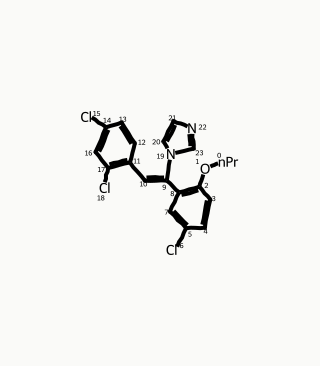 CCCOc1ccc(Cl)cc1C(=Cc1ccc(Cl)cc1Cl)n1ccnc1